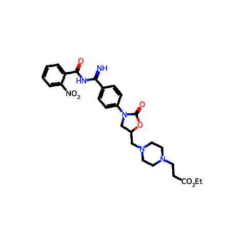 CCOC(=O)CCN1CCN(CC2CN(c3ccc(C(=N)NC(=O)c4ccccc4[N+](=O)[O-])cc3)C(=O)O2)CC1